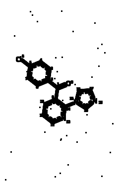 O=C(c1ccc(Cl)cc1)c1cccnc1-n1ccnc1